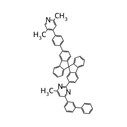 Cc1cc(-c2ccc(-c3ccc4c(c3)-c3ccccc3C43c4ccccc4-c4ccc(-c5nc(C)cc(-c6cccc(-c7ccccc7)c6)n5)cc43)cc2)c(C)cn1